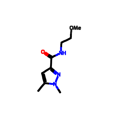 COCCNC(=O)c1cc(C)n(C)n1